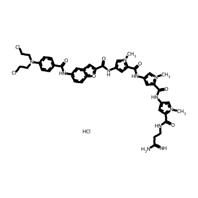 Cl.Cn1cc(NC(=O)c2cc(NC(=O)c3cc(NC(=O)c4cc5cc(NC(=O)c6ccc(N(CCCl)CCCl)cc6)ccc5o4)cn3C)cn2C)cc1C(=O)NCCC(=N)N